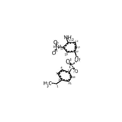 CCc1ccc(S(=O)(=O)Oc2ccc(N)c([N+](=O)[O-])c2)cc1